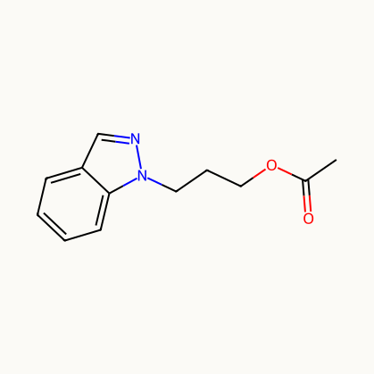 CC(=O)OCCCn1ncc2ccccc21